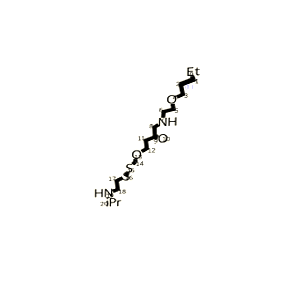 CC/C=C/COCCNCC(=O)CCOCSSCCNC(C)C